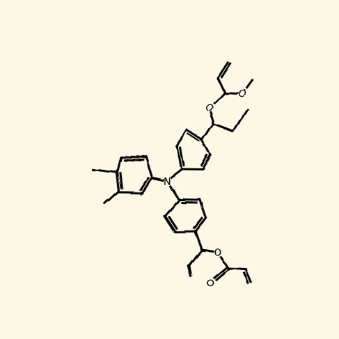 C=CC(=O)OC(CC)c1ccc(N(c2ccc(C(CC)OC(C=C)OC)cc2)c2ccc(C)c(C)c2)cc1